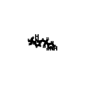 CC(C)(C)C1CCC(CC(C)(C)C2CCNC2)N1